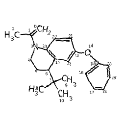 C=C(C)N1CCC(C(C)(C)C)c2cc(Oc3ccccc3)ccc21